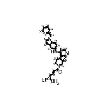 CCN(C)CC=CC(=O)N1CCc2c(sc3ncnc(Nc4ccc5c(ccn5Cc5ccccn5)c4)c23)C1